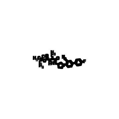 C[C@H](NC(=O)OC(C)(C)C)C(=O)N[C@H]1CCN(c2ccc(-c3ccc(F)cc3)cc2C#N)C1